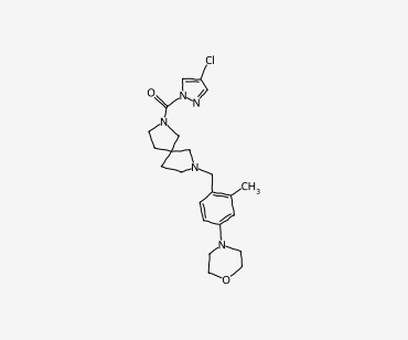 Cc1cc(N2CCOCC2)ccc1CN1CCC2(CCN(C(=O)n3cc(Cl)cn3)C2)C1